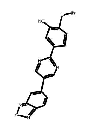 CC(C)Oc1ccc(-c2ncc(-c3ccc4nonc4c3)cn2)cc1C#N